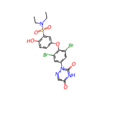 CCN(CC)S(=O)(=O)c1cc(Oc2c(Br)cc(-n3ncc(=O)[nH]c3=O)cc2Br)ccc1O